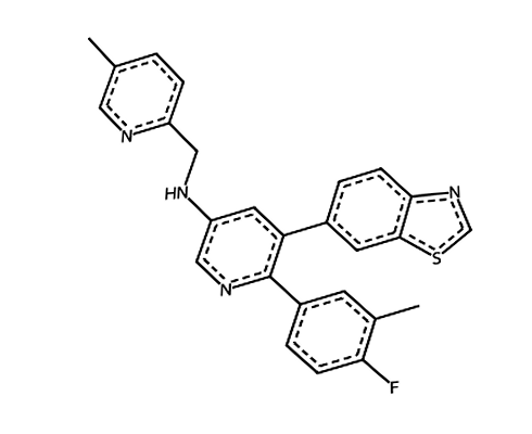 Cc1ccc(CNc2cnc(-c3ccc(F)c(C)c3)c(-c3ccc4ncsc4c3)c2)nc1